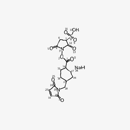 O=C(ON1C(=O)CC(S(=O)(=O)O)C1=O)C1CCC(CN2C(=O)C=CC2=O)CC1.[NaH]